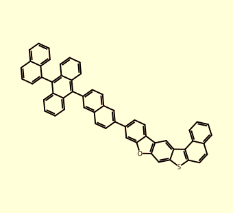 c1ccc2c(-c3c4ccccc4c(-c4ccc5cc(-c6ccc7c(c6)oc6cc8sc9ccc%10ccccc%10c9c8cc67)ccc5c4)c4ccccc34)cccc2c1